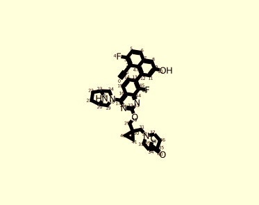 C#Cc1c(F)ccc2cc(O)cc(-c3ccc4c(N5CC6CCC(C5)N6)nc(OCC5(CN6CC7CCC6CC7=O)CC5)nc4c3F)c12